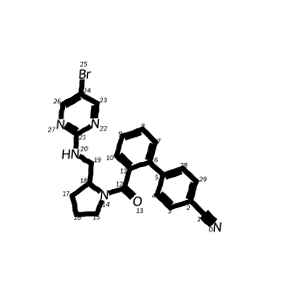 N#Cc1ccc(-c2ccccc2C(=O)N2CCCC2CNc2ncc(Br)cn2)cc1